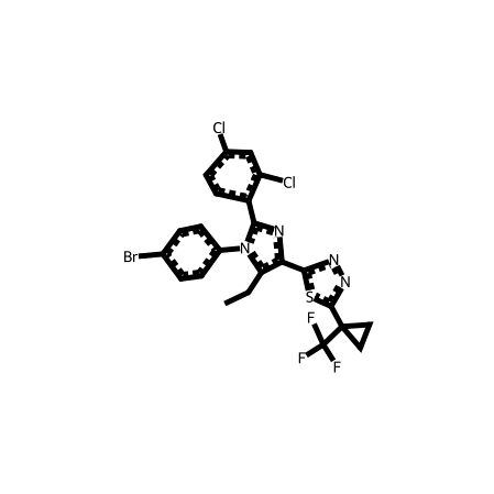 CCc1c(-c2nnc(C3(C(F)(F)F)CC3)s2)nc(-c2ccc(Cl)cc2Cl)n1-c1ccc(Br)cc1